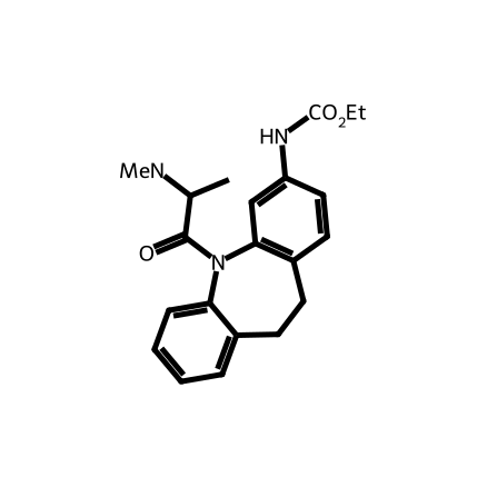 CCOC(=O)Nc1ccc2c(c1)N(C(=O)C(C)NC)c1ccccc1CC2